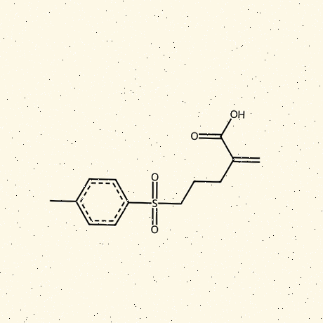 C=C(CCCS(=O)(=O)c1ccc(C)cc1)C(=O)O